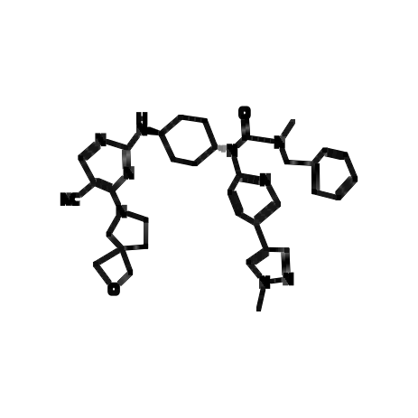 CN(Cc1ccccc1)C(=O)N(c1ccc(-c2cnn(C)c2)cn1)[C@H]1CC[C@H](Nc2ncc(C#N)c(N3CCC4(COC4)C3)n2)CC1